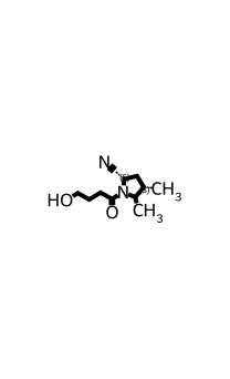 CC1[C@@H](C)C[C@@H](C#N)N1C(=O)CCCO